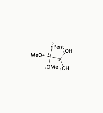 CCCCCC(OC)(OC)C(O)O